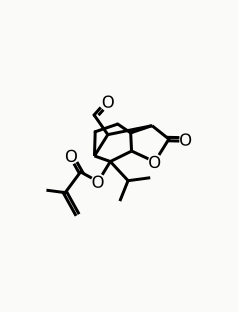 C=C(C)C(=O)OC1(C(C)C)C2CCC3C(C(=O)OC31)C2C=O